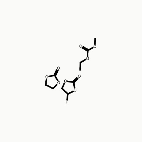 CCOC(=O)OC.O=C1OCC(F)O1.O=C1OCCO1